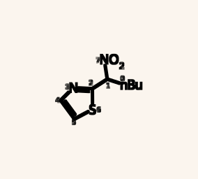 CCCCC(c1nccs1)[N+](=O)[O-]